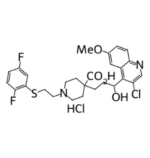 COc1ccc2ncc(Cl)c(C(O)CCC3(C(=O)O)CCN(CCSc4cc(F)ccc4F)CC3)c2c1.Cl